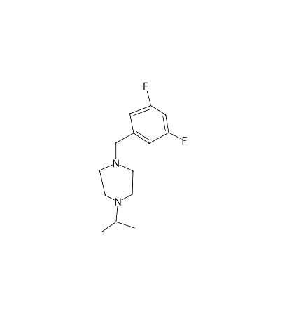 CC(C)N1CCN(Cc2cc(F)cc(F)c2)CC1